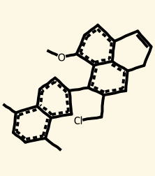 COc1ccc2c3c(cc(CCl)c(-c4ccc5c(C)ccc(C)c5c4)c13)CC=C2